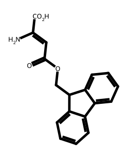 NC(=CC(=O)OCC1c2ccccc2-c2ccccc21)C(=O)O